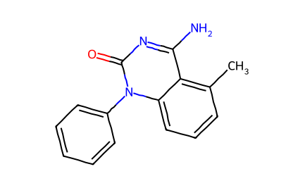 Cc1cccc2c1c(N)nc(=O)n2-c1ccccc1